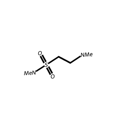 CNCCS(=O)(=O)NC